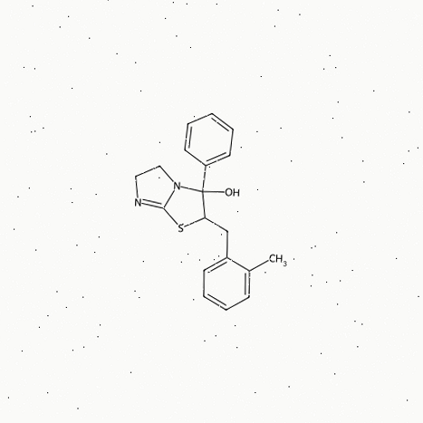 Cc1ccccc1CC1SC2=NCCN2C1(O)c1ccccc1